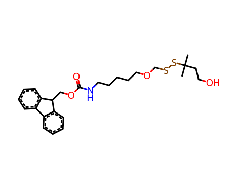 CC(C)(CCO)SSCOCCCCCNC(=O)OCC1c2ccccc2-c2ccccc21